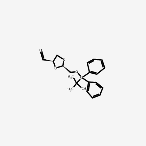 CC(C)(C)[Si](OC[C@H]1O[C@@H](C=O)CS1)(c1ccccc1)c1ccccc1